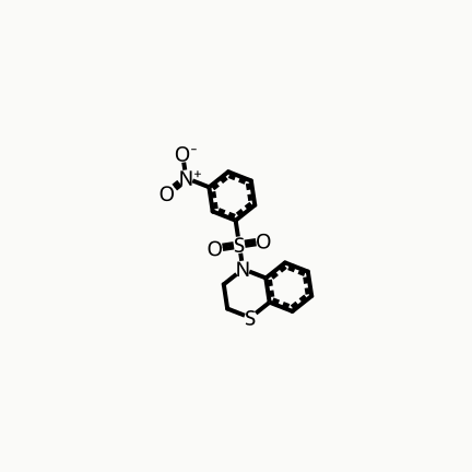 O=[N+]([O-])c1cccc(S(=O)(=O)N2CCSc3ccccc32)c1